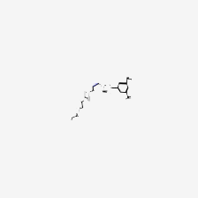 O=C(/C=C\n1cnc(-c2cc(C(F)(F)F)cc(C(F)(F)F)c2)n1)NNC(=O)CNC(O)CO